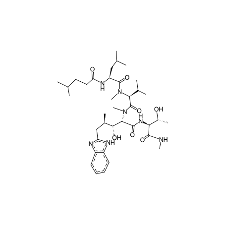 CNC(=O)[C@@H](NC(=O)[C@H]([C@H](O)[C@H](C)Cc1nc2ccccc2[nH]1)N(C)C(=O)[C@H](C(C)C)N(C)C(=O)[C@H](CC(C)C)NC(=O)CCC(C)C)[C@@H](C)O